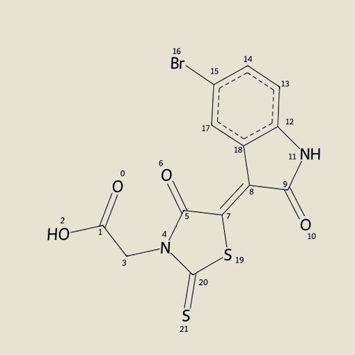 O=C(O)CN1C(=O)/C(=C2/C(=O)Nc3ccc(Br)cc32)SC1=S